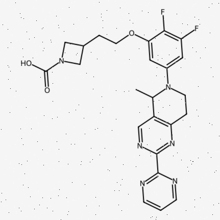 CC1c2cnc(-c3ncccn3)nc2CCN1c1cc(F)c(F)c(OCCC2CN(C(=O)O)C2)c1